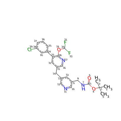 CC(C)(C)OC(=O)NCc1cncc(Cc2cnc(OC(F)F)c(-c3cccc(Cl)c3)c2)c1